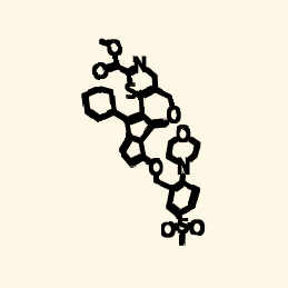 COC(=O)C1=NCC2=C(S1)C1=C(C3CCCCC3)C3=CC=C(OCc4cc(S(C)(=O)=O)ccc4N4CCOCC4)C3C1=COC2